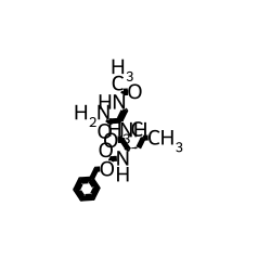 CC(=O)N/C=C(/NC(=O)[C@H](CC(C)C)NC(=O)OCc1ccccc1)C(N)=O